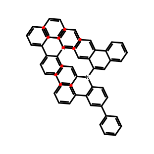 c1ccc(-c2ccc(N(c3ccccc3)c3cc4ccccc4c4ccc(N(c5ccccc5)c5ccccc5-c5ccccc5-c5ccccc5)cc34)c(-c3ccccc3)c2)cc1